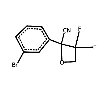 N#CC1(c2cccc(Br)c2)OCC1(F)F